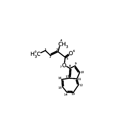 CCC=C(C)C(=O)Oc1ccc2cccccc1-2